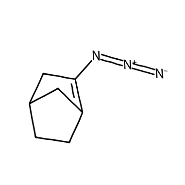 [N-]=[N+]=NC1=C2CCC(C2)C1